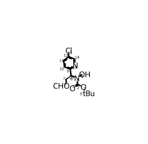 CC(C)(C)OC(=O)N(O)[C@@H](CC=O)c1ccc(Cl)cn1